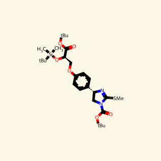 CSC1=N[C@@H](c2ccc(OC[C@@H](O[Si](C)(C)C(C)(C)C)C(=O)OC(C)(C)C)cc2)CN1C(=O)OC(C)(C)C